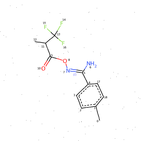 Cc1ccc(/C(N)=N/OC(=O)C(C)C(F)(F)F)cc1